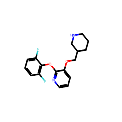 Fc1cccc(F)c1Oc1ncccc1OCC1CCCNC1